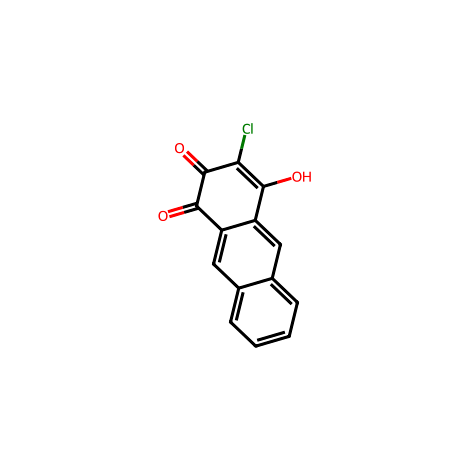 O=C1C(=O)c2cc3ccccc3cc2C(O)=C1Cl